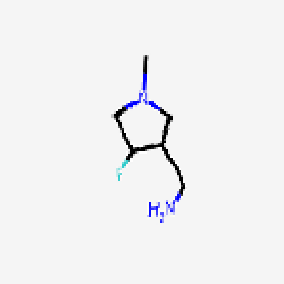 CN1CC(F)C(CN)C1